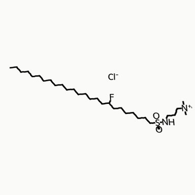 CCCCCCCCCCCCCCCCCC(F)CCCCCCCS(=O)(=O)NCCC[N+](C)(C)C.[Cl-]